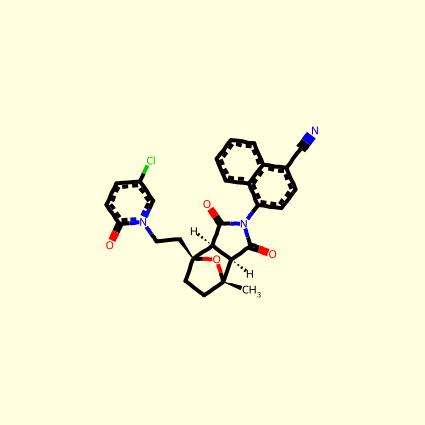 C[C@@]12CC[C@@](CCn3cc(Cl)ccc3=O)(O1)[C@H]1C(=O)N(c3ccc(C#N)c4ccccc34)C(=O)[C@H]12